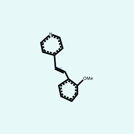 COc1ccccc1/C=C/c1ccncc1